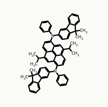 CC(C)c1cc2c(N(c3ccccc3)c3ccc4c(c3)-c3ccccc3C4(C)C)ccc3c(C(C)C)cc4c(N(c5ccccc5)c5ccc6c(c5)-c5ccccc5C6(C)C)ccc1c4c32